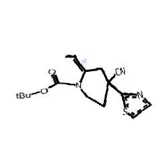 C/C=C1/CC(C#N)(c2nccs2)CCN1C(=O)OC(C)(C)C